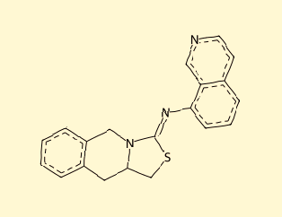 c1ccc2c(c1)CC1CSC(=Nc3cccc4ccncc34)N1C2